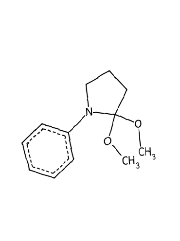 COC1(OC)CCCN1c1ccccc1